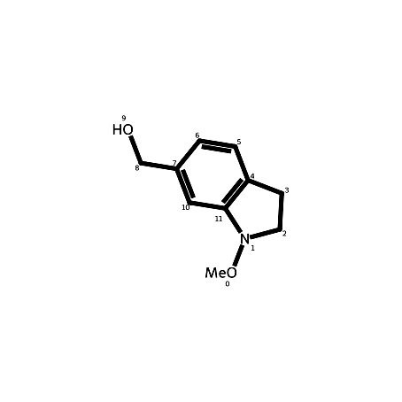 CON1CCc2ccc(CO)cc21